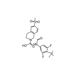 C[Si](C)(C)c1c(F)cc(NC(=O)[C@H]2c3ccc(S(C)(=O)=O)cc3CCN2C(=O)O)cc1F